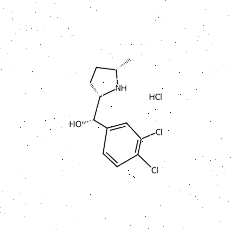 C[C@H]1CC[C@@H]([C@@H](O)c2ccc(Cl)c(Cl)c2)N1.Cl